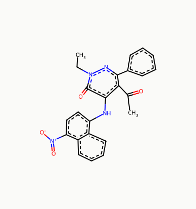 CCn1nc(-c2ccccc2)c(C(C)=O)c(Nc2ccc([N+](=O)[O-])c3ccccc23)c1=O